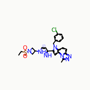 CCS(=O)(=O)N1CC(N/C=C\C(=N)c2cc3c(ccc4nnc(C)n43)n2Cc2cccc(Cl)c2)C1